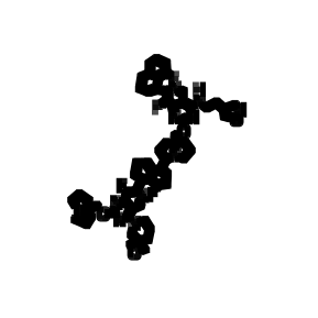 Fc1c(-c2cccc3cccc(F)c23)ncc2c(NCCc3cnoc3)nc(OCC34CCCN3C(c3ccc(F)c5c(-c6ncc7c(N8CCCC9(COC9)C8)nc(OCC89CCCN8CCC9)nc7c6F)cccc35)CC4)nc12